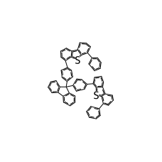 c1ccc(-c2cccc3c2sc2c(-c4ccc(C5(c6ccc(-c7cccc8c7sc7c(-c9ccccc9)cccc78)cc6)c6ccccc6-c6ccccc65)cc4)cccc23)cc1